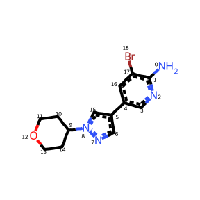 Nc1ncc(-c2cnn(C3CCOCC3)c2)cc1Br